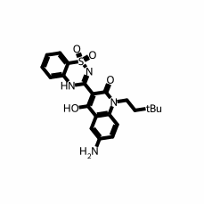 CC(C)(C)CCn1c(=O)c(C2=NS(=O)(=O)c3ccccc3N2)c(O)c2cc(N)ccc21